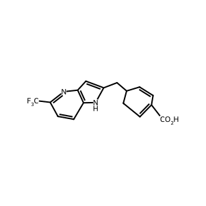 O=C(O)C1=CCC(Cc2cc3nc(C(F)(F)F)ccc3[nH]2)C=C1